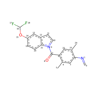 C=Nc1cc(C)c(C(=O)n2ccc3cc(OC(F)F)ccc32)cc1C